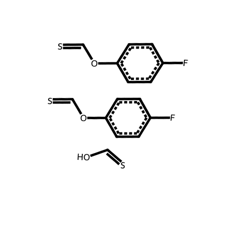 Fc1ccc(OC=S)cc1.Fc1ccc(OC=S)cc1.OC=S